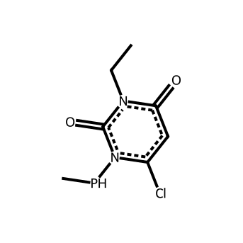 CCn1c(=O)cc(Cl)n(PC)c1=O